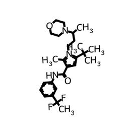 Cc1c(C(=O)Nc2cccc(C(C)(F)F)c2)cc(C(C)(C)C)n1CCC(C)N1CCOCC1